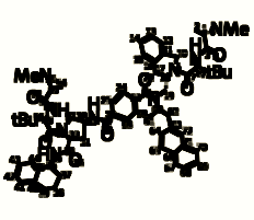 CN[C@@H](C)C(=O)N[C@H](C(=O)N1Cc2ccccc2C[C@H]1CN(C(=O)c1ccc(C(=O)N[C@H]2C[C@@H](C(=O)NC3CCCc4ccccc43)N(C(=O)[C@@H](NC(=O)[C@H](C)NC)C(C)(C)C)C2)cc1)[C@H](C)Cc1ccc2ccccc2c1)C(C)(C)C